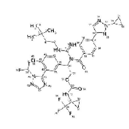 CC(C)(C)CCNC(=N)N(C(=O)c1ccc(-c2cnn(C3CC3)n2)cc1)[C@H](COC(=O)NC1(C(F)(F)F)CC1)c1ccc(Cl)c(-c2ncnn2C(F)F)c1